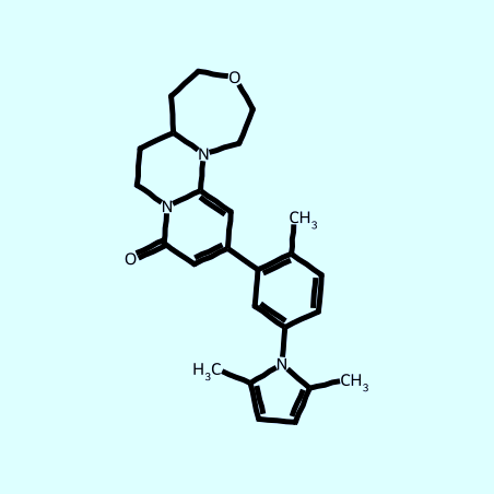 Cc1ccc(-n2c(C)ccc2C)cc1-c1cc2n(c(=O)c1)CCC1CCOCCN21